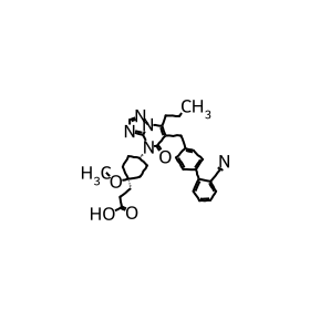 CCCc1c(Cc2ccc(-c3ccccc3C#N)cc2)c(=O)n([C@H]2CC[C@](CCC(=O)O)(OC)CC2)c2ncnn12